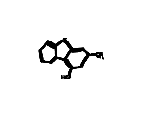 Oc1cc(O)c2c(c1)sc1ccccc12